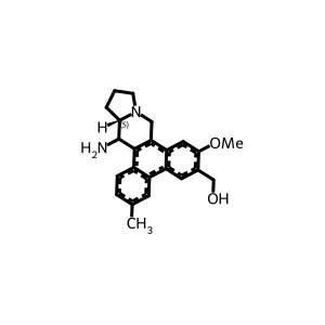 COc1cc2c3c(c4ccc(C)cc4c2cc1CO)C(N)[C@@H]1CCCN1C3